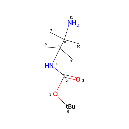 CC(C)(C)OC(=O)NC(C)(C)C(C)(C)N